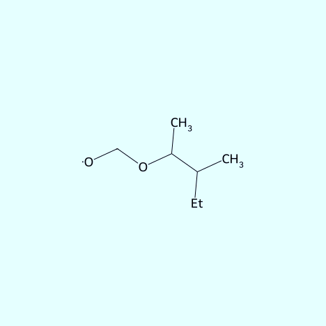 CCC(C)C(C)OC[O]